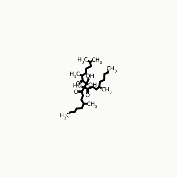 CCCCCC(C)CCC(=O)C(O)(C(=O)CCC(C)CCCCC)C(O)(CO)C(=O)C(C)CCCC(C)C